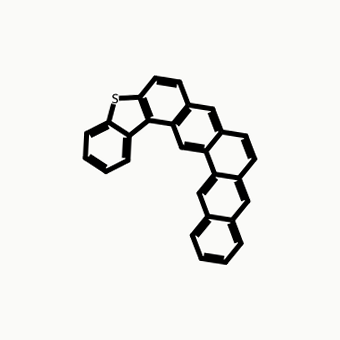 c1ccc2cc3c(ccc4cc5ccc6sc7ccccc7c6c5cc43)cc2c1